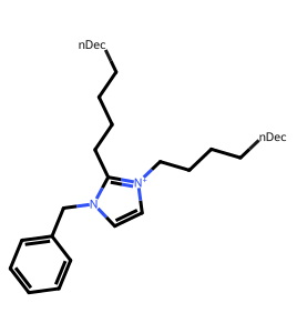 CCCCCCCCCCCCCCc1n(Cc2ccccc2)cc[n+]1CCCCCCCCCCCCCC